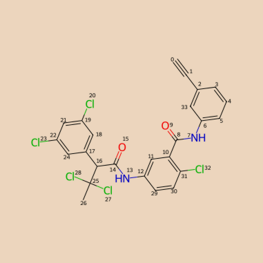 C#Cc1cccc(NC(=O)c2cc(NC(=O)C(c3cc(Cl)cc(Cl)c3)C(C)(Cl)Cl)ccc2Cl)c1